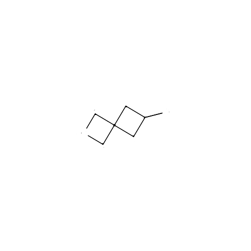 [O]C1CC2(COC2)C1